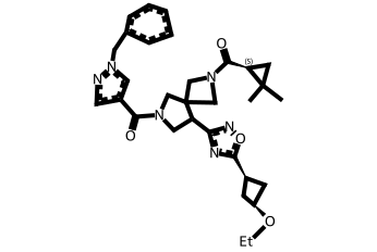 CCO[C@H]1C[C@@H](c2nc(C3CN(C(=O)c4cnn(Cc5ccccc5)c4)CC34CN(C(=O)[C@H]3CC3(C)C)C4)no2)C1